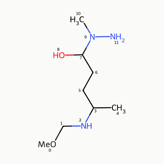 COCNC(C)CCC(O)N(C)N